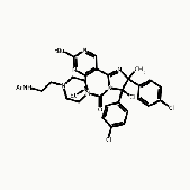 CCOc1nc(C(C)(C)C)ncc1C1=NC(C)(c2ccc(Cl)cc2)C(C)(c2ccc(Cl)cc2)N1C(=O)N1CCN(CCNC(C)=O)CC1